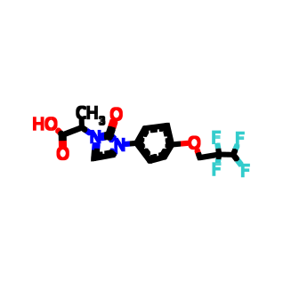 CC(C(=O)O)n1ccn(-c2ccc(OCC(F)(F)C(F)F)cc2)c1=O